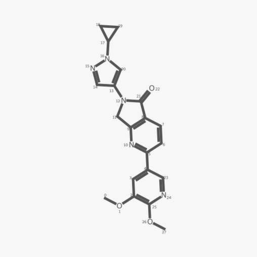 COc1cc(-c2ccc3c(n2)CN(c2cnn(C4CC4)c2)C3=O)cnc1OC